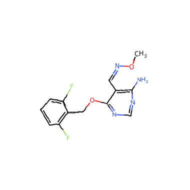 CO/N=C\c1c(N)ncnc1OCc1c(F)cccc1F